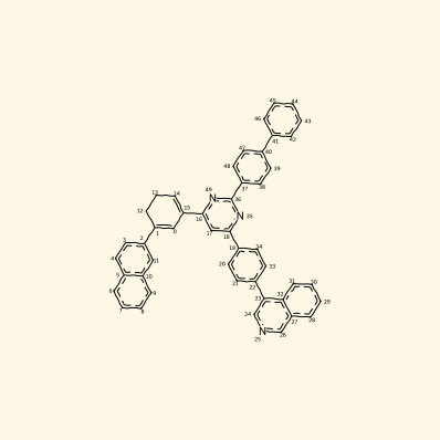 C1=C(c2ccc3ccccc3c2)CCC=C1c1cc(-c2ccc(-c3cncc4ccccc34)cc2)nc(-c2ccc(-c3ccccc3)cc2)n1